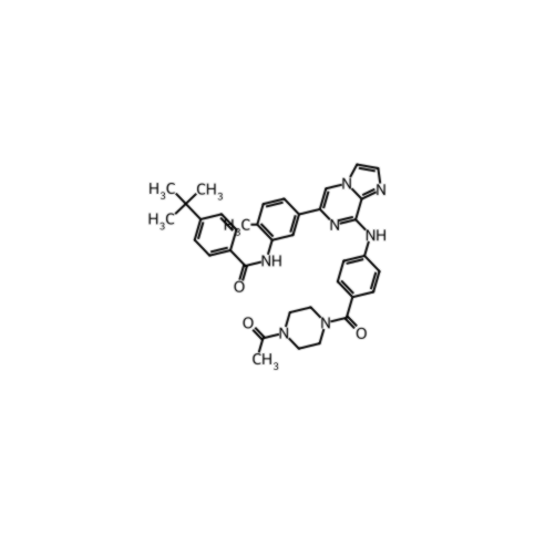 CC(=O)N1CCN(C(=O)c2ccc(Nc3nc(-c4ccc(C)c(NC(=O)c5ccc(C(C)(C)C)cc5)c4)cn4ccnc34)cc2)CC1